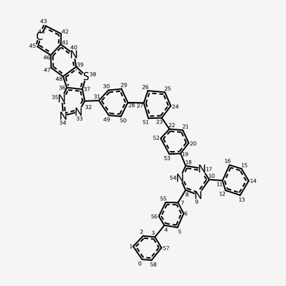 c1ccc(-c2ccc(-c3nc(-c4ccccc4)nc(-c4ccc(-c5cccc(-c6ccc(-c7nnnc8c7sc7nc9ccccc9cc78)cc6)c5)cc4)n3)cc2)cc1